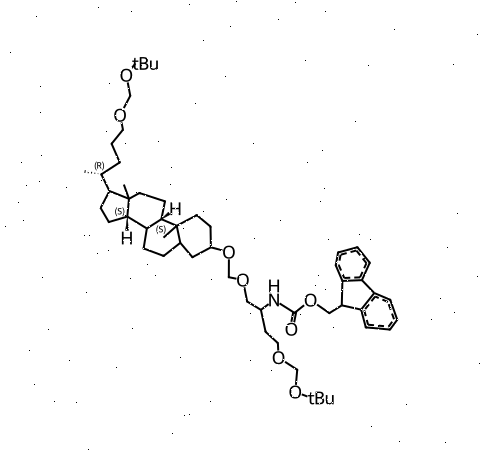 C[C@H](CCCOCOC(C)(C)C)C1CC[C@H]2C3CCC4CC(OCOCC(CCOCOC(C)(C)C)NC(=O)OCC5c6ccccc6-c6ccccc65)CCC4(C)[C@H]3CCC12C